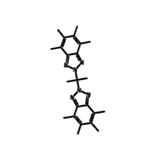 Cc1c(C)c(C)c2nn(C(C)(C)n3nc4c(C)c(C)c(C)c(C)c4n3)nc2c1C